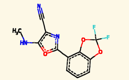 CNc1oc(-c2cccc3c2OC(F)(F)O3)nc1C#N